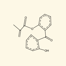 C=C(C)C(=O)Oc1ccccc1C(=O)c1ccccc1O